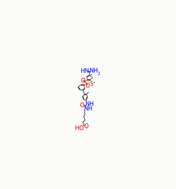 CSc1sc(C(=N)N)cc1S(=O)(=O)c1cccc(-c2ccc(NC(=O)NCCCCCC(=O)O)cc2C)c1